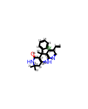 C=Cc1cnc2c(c1Br)C(C)(c1ccccc1)C1=C(CC(C)(C)NC1=O)N2